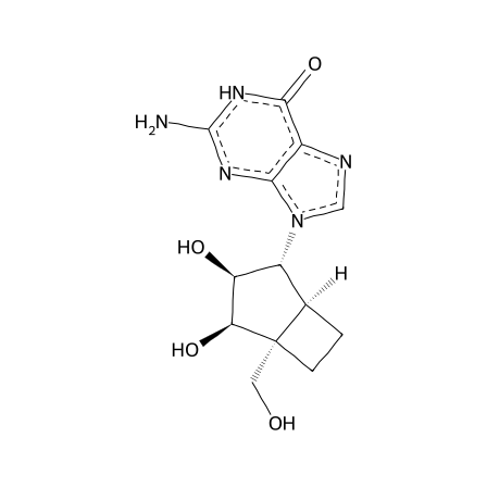 Nc1nc2c(ncn2[C@H]2[C@H](O)[C@H](O)[C@]3(CO)CC[C@H]23)c(=O)[nH]1